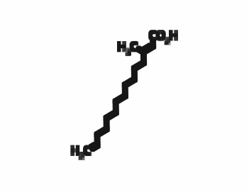 C=CCCCCCCCCCC/C(C)=C/C(=O)O